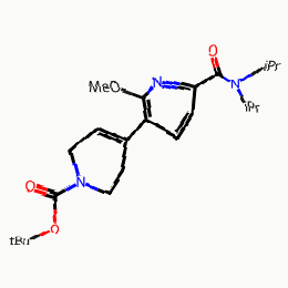 COc1nc(C(=O)N(C(C)C)C(C)C)ccc1C1=CCN(C(=O)OC(C)(C)C)CC1